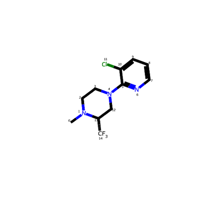 CN1CCN(c2ncccc2Cl)CC1C(F)(F)F